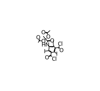 CC(=O)OC(C)(OC(C)=O)C(=O)Nc1c(I)c(C(=O)Cl)c(I)c(C(=O)Cl)c1I